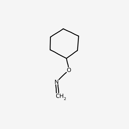 C=NOC1CCCCC1